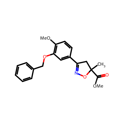 COC(=O)C1(C)CC(c2ccc(OC)c(OCc3ccccc3)c2)=NO1